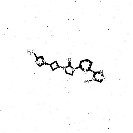 CC(C)n1cnnc1-c1cccc(N2CCN(C3CC(n4cnc(C(F)(F)F)c4)C3)C2=O)n1